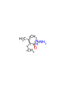 CCC(C(=O)NN)=C(C)C